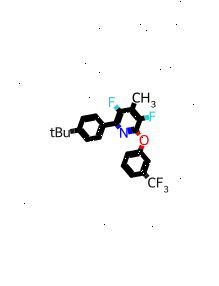 Cc1c(F)c(Oc2cccc(C(F)(F)F)c2)nc(-c2ccc(C(C)(C)C)cc2)c1F